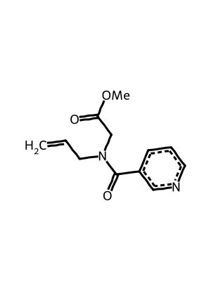 C=CCN(CC(=O)OC)C(=O)c1cccnc1